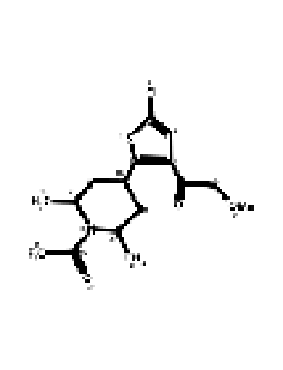 COCC(=O)c1cc(Cl)sc1C1CC(C)N(C(=O)C(F)(F)F)C(C)C1